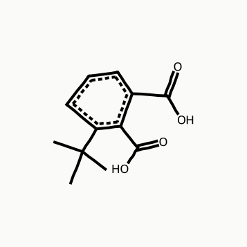 CC(C)(C)c1cccc(C(=O)O)c1C(=O)O